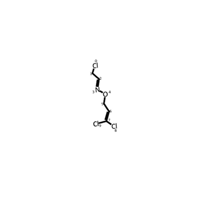 ClCC=NOCC=C(Cl)Cl